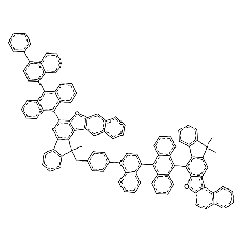 CC1(C)c2ccccc2-c2c1cc1c(oc3ccc4ccccc4c31)c2-c1c2ccccc2c(-c2ccc(-c3ccc(CC4(C)c5ccccc5-c5cc(-c6c7ccccc7c(-c7ccc(-c8ccccc8)c8ccccc78)c7ccccc67)c6oc7cc8ccccc8cc7c6c54)cc3)c3ccccc23)c2ccccc12